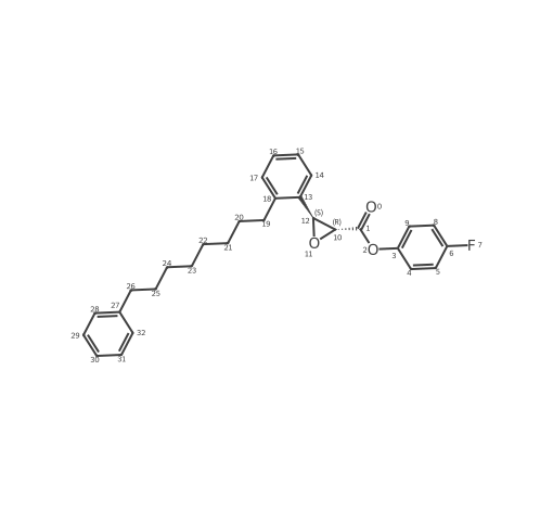 O=C(Oc1ccc(F)cc1)[C@@H]1O[C@H]1c1ccccc1CCCCCCCCc1ccccc1